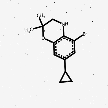 CC1(C)CNc2c(Br)cc(C3CC3)cc2O1